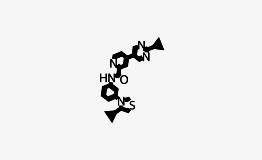 O=C(Nc1cccc(N2CSCC2C2CC2)c1)c1cc(-c2cnc(C3CC3)nc2)ccn1